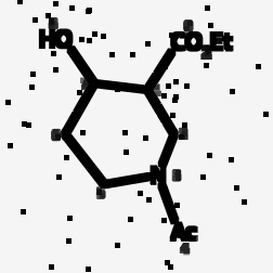 CCOC(=O)C1CN(C(C)=O)CCC1O